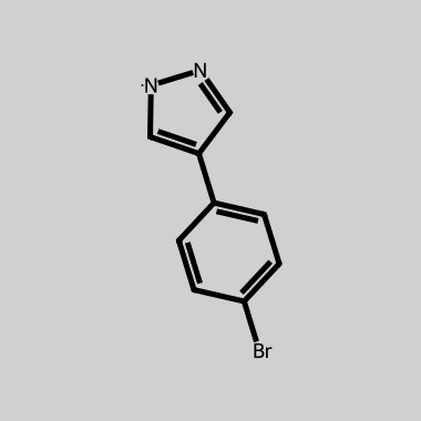 Brc1ccc(C2=C[N]N=C2)cc1